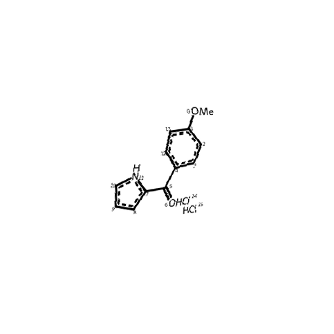 COc1ccc(C(=O)c2ccc[nH]2)cc1.Cl.Cl